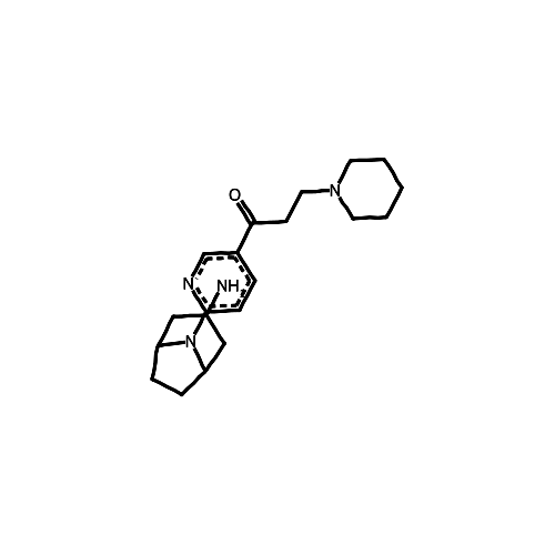 NC1CC2CCC(C1)N2c1ccc(C(=O)CCN2CCCCC2)cn1